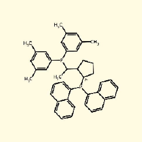 Cc1cc(C)cc(P(c2cc(C)cc(C)c2)C(C)C2CCC[C@H]2P(c2cccc3ccccc23)c2cccc3ccccc23)c1